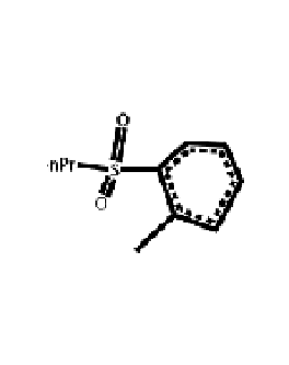 CC[CH]S(=O)(=O)c1ccccc1C